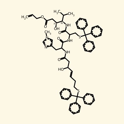 C=CCOC(=O)C[C@H](O)[C@H](NC(=O)C(CSC(c1ccccc1)(c1ccccc1)c1ccccc1)NC(=O)C(Cc1cn(C)cn1)NC(=O)CC(O)C=CCCSC(c1ccccc1)(c1ccccc1)c1ccccc1)C(C)C